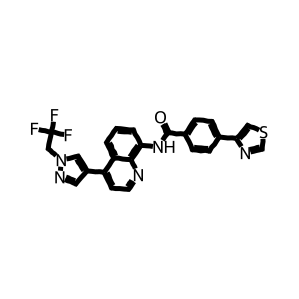 O=C(Nc1cccc2c(-c3cnn(CC(F)(F)F)c3)ccnc12)c1ccc(-c2cscn2)cc1